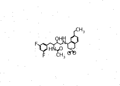 CCc1ccc2c(c1)C(NCC(O)C(Cc1cc(F)cc(F)c1)NC(C)=O)CS(=O)(=O)C2